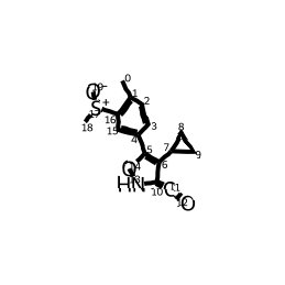 Cc1ccc(C2=C(C3CC3)C(=C=O)NO2)cc1[S+](C)[O-]